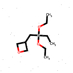 CCO[Si](CC)(CC1COC1)OCC